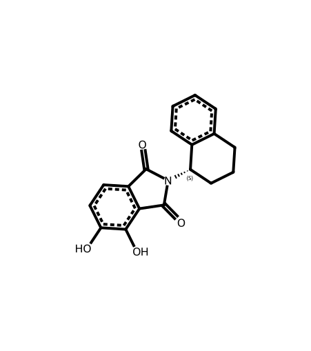 O=C1c2ccc(O)c(O)c2C(=O)N1[C@H]1CCCc2ccccc21